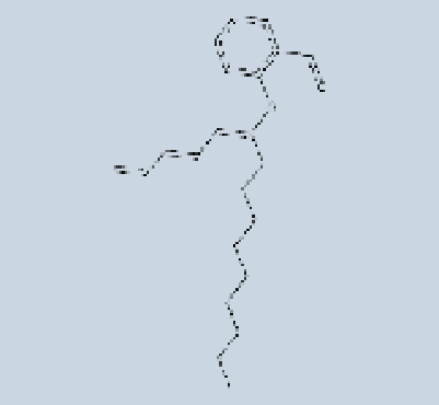 C=CC=CC=C(CCCCCCCCC)Oc1ccccc1C=O